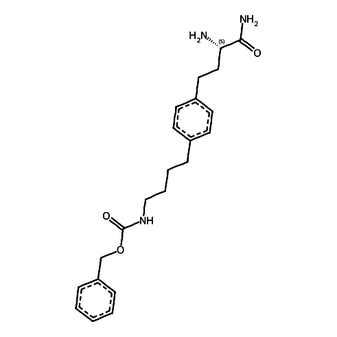 NC(=O)[C@@H](N)CCc1ccc(CCCCNC(=O)OCc2ccccc2)cc1